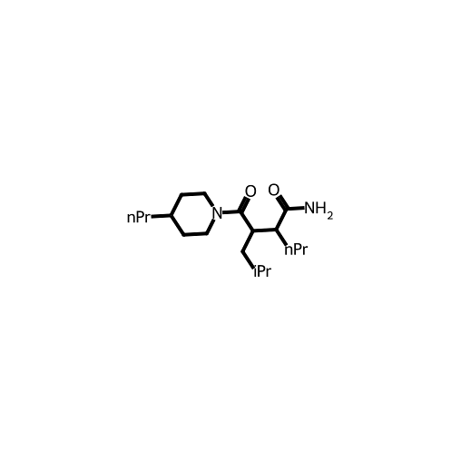 CCCC1CCN(C(=O)C(CC(C)C)C(CCC)C(N)=O)CC1